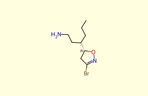 CCCC(CCN)[C@H]1CC(Br)=NO1